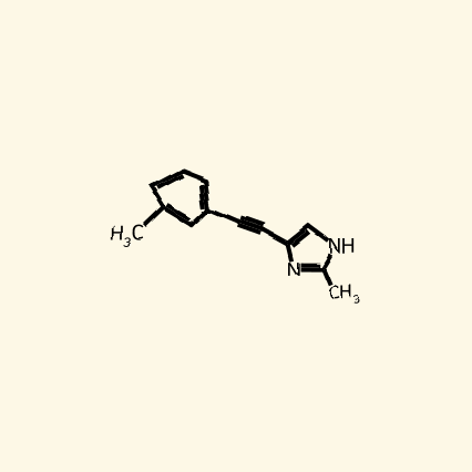 Cc1cccc(C#Cc2c[nH]c(C)n2)c1